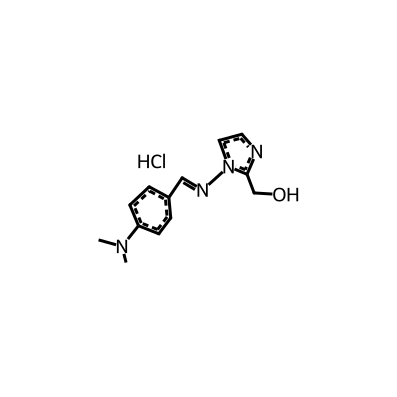 CN(C)c1ccc(C=Nn2ccnc2CO)cc1.Cl